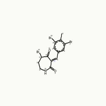 Cc1c(Br)cc(/C=C2/C(=O)NCCC(Br)C2=O)cc1Br